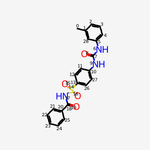 Cc1cccc(NC(=O)Nc2ccc(S(=O)(=O)NC(=O)c3ccccc3)cc2)c1